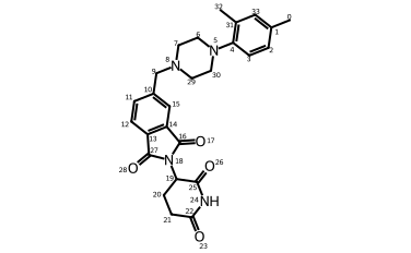 Cc1ccc(N2CCN(Cc3ccc4c(c3)C(=O)N(C3CCC(=O)NC3=O)C4=O)CC2)c(C)c1